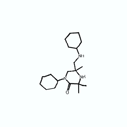 CC1(CNC2CCCCC2)CN(C2CCCCC2)C(=O)C(C)(C)N1